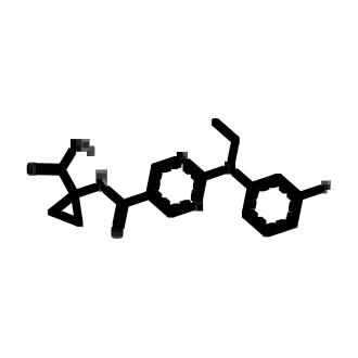 CCN(c1cccc(F)c1)c1ncc(C(=O)NC2(C(N)=O)CC2)cn1